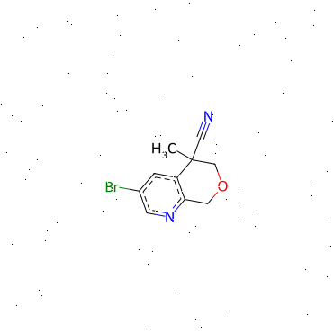 CC1(C#N)COCc2ncc(Br)cc21